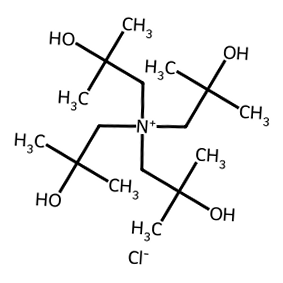 CC(C)(O)C[N+](CC(C)(C)O)(CC(C)(C)O)CC(C)(C)O.[Cl-]